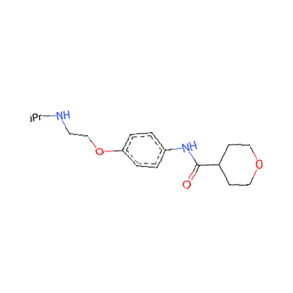 CC(C)NCCOc1ccc(NC(=O)C2CCOCC2)cc1